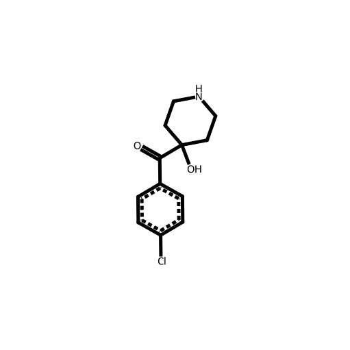 O=C(c1ccc(Cl)cc1)C1(O)CCNCC1